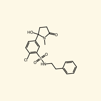 CN1C(=O)CCC1(O)c1ccc(Cl)c(S(=O)(=O)NCCc2ccccc2)c1